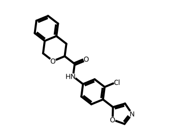 O=C(Nc1ccc(-c2cnco2)c(Cl)c1)C1Cc2ccccc2CO1